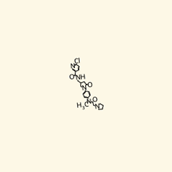 CN(C(=O)CN1CCCC1)c1ccc(N2CC(CNC(=O)c3ccc(Cl)nc3)CC2=O)cc1